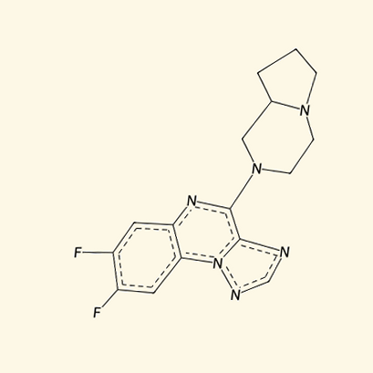 Fc1cc2nc(N3CCN4CCCC4C3)c3ncnn3c2cc1F